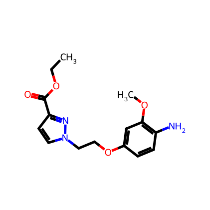 CCOC(=O)c1ccn(CCOc2ccc(N)c(OC)c2)n1